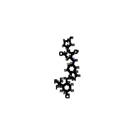 CN1CC[C@@H](N2C(=O)S/C(=C\c3ccc4c(cnn4Cc4ccc(Cl)cc4C(F)(F)F)c3)C2=O)C1